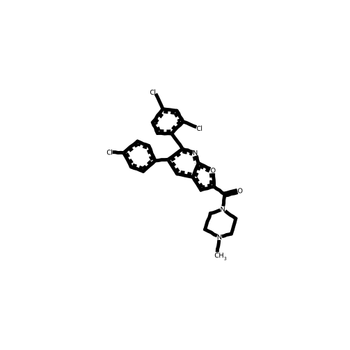 CN1CCN(C(=O)c2[c]c3cc(-c4ccc(Cl)cc4)c(-c4ccc(Cl)cc4Cl)nc3o2)CC1